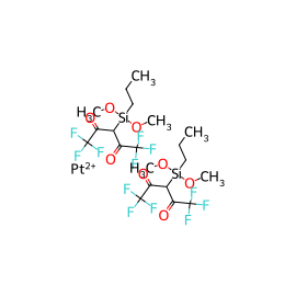 CCC[Si](OC)(OC)C(C(=O)C(F)(F)F)C(=O)C(F)(F)F.CCC[Si](OC)(OC)C(C(=O)C(F)(F)F)C(=O)C(F)(F)F.[Pt+2]